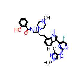 Cc1nn(C)cc1Nc1ncc(F)c(-c2c[nH]c3c(CC[C@@H](CNC(=O)c4ccccc4O)N4CCN(C)CC4)cccc23)n1